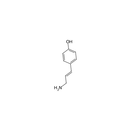 NCC=Cc1ccc(O)cc1